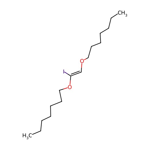 CCCCCCCO/C=C(\I)OCCCCCCC